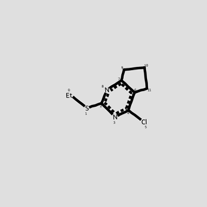 CCSc1nc(Cl)c2c(n1)CCC2